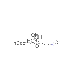 CCCCCCCC/C=C\CCCCCCCC(=O)C(CCCCCCCCCCCCCCCC)C(=O)C(O)C(O)CO